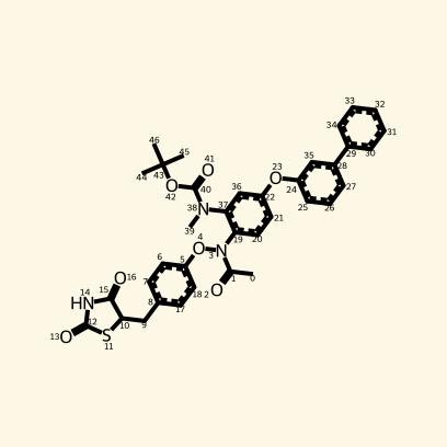 CC(=O)N(Oc1ccc(CC2SC(=O)NC2=O)cc1)c1ccc(Oc2cccc(-c3ccccc3)c2)cc1N(C)C(=O)OC(C)(C)C